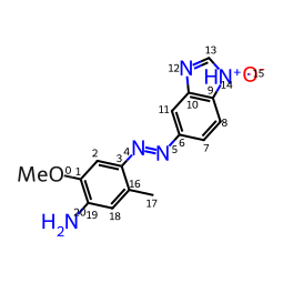 COc1cc(N=Nc2ccc3c(c2)N=C[NH+]3[O-])c(C)cc1N